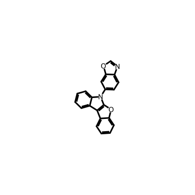 c1ccc2c(c1)oc1c2c2ccccc2n1-c1ccc2ncoc2c1